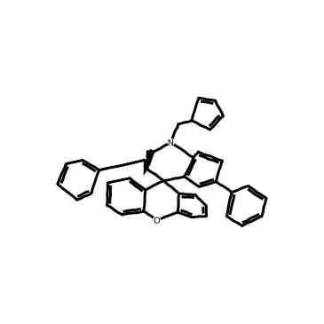 C1=CC(CN2c3ccc(-c4ccccc4)cc3C3(c4ccccc4Oc4ccccc43)c3cc(-c4ccccc4)ccc32)C=C1